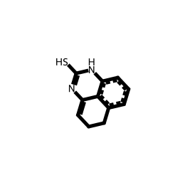 SC1=NC2=CCCc3cccc(c32)N1